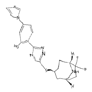 Oc1cc(-n2ccnc2)ccc1-c1ncc(S[C@@H]2C[C@H]3CC(F)(F)[C@@H](C2)N3)nn1